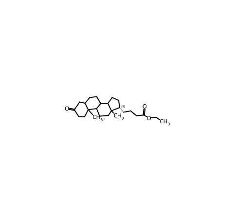 CCOC(=O)CCC[C@H]1CCC2C3CCC4CC(=O)CCC4(C)C3CCC21C